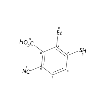 CCc1c(S)ccc(C#N)c1C(=O)O